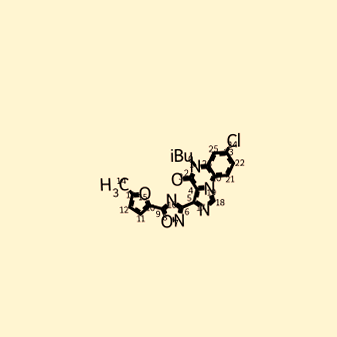 CCC(C)n1c(=O)c2c(-c3noc(-c4ccc(C)o4)n3)ncn2c2ccc(Cl)cc21